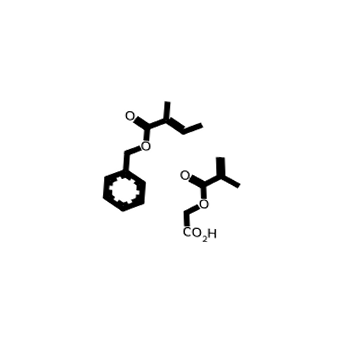 C=C(C)C(=O)OCC(=O)O.CC=C(C)C(=O)OCc1ccccc1